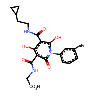 CC(C)c1cccc(-n2c(O)c(C(=O)NCCC3CC3)c(O)c(C(=O)NCC(=O)O)c2=O)c1